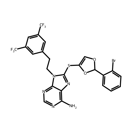 Nc1ncnc2c1nc(SC1=COC(c3ccccc3Br)O1)n2CCc1cc(C(F)(F)F)cc(C(F)(F)F)c1